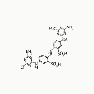 Cc1nc(N)nc(Nc2ccc(/C=C/c3ccc(Nc4nc(N)nc(Cl)n4)cc3S(=O)(=O)O)c(S(=O)(=O)O)c2)n1